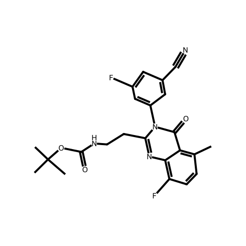 Cc1ccc(F)c2nc(CCNC(=O)OC(C)(C)C)n(-c3cc(F)cc(C#N)c3)c(=O)c12